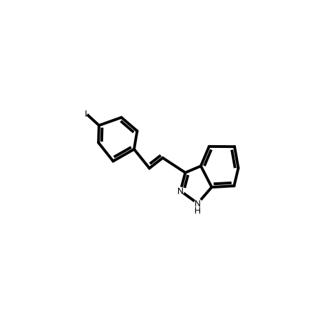 Ic1ccc(/C=C/c2n[nH]c3ccccc23)cc1